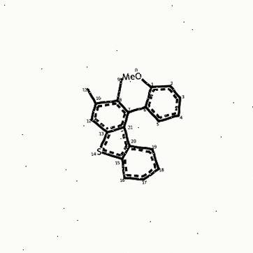 COc1ccccc1-c1c(C)c(C)cc2sc3ccccc3c12